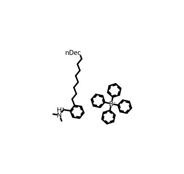 CCCCCCCCCCCCCCCCCCc1ccccc1C[NH+](C)C.c1ccc([B-](c2ccccc2)(c2ccccc2)c2ccccc2)cc1